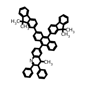 CC1c2cc(-c3c4ccccc4c(-c4ccc5c(c4)C(C)(C)c4ccccc4-5)c4cc(-c5ccc6c(c5)C(C)(C)c5ccccc5-6)ccc34)ccc2N=C(c2ccccc2)C1c1ccccc1